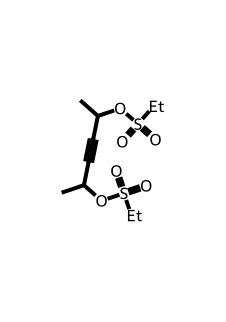 CCS(=O)(=O)OC(C)C#CC(C)OS(=O)(=O)CC